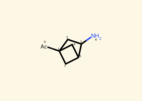 CC(=O)C12CC(N)C(C1)C2